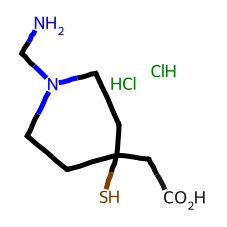 Cl.Cl.NCN1CCC(S)(CC(=O)O)CC1